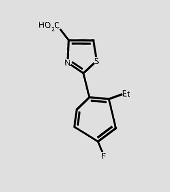 CCc1cc(F)ccc1-c1nc(C(=O)O)cs1